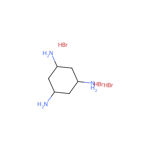 Br.Br.Br.NC1CC(N)CC(N)C1